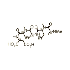 CN[C@@H](C)C(=O)N(C)[C@@H](CC(C)C)C(=O)N[C@@H](C)C(=O)N(C)[C@H](C(=O)N(C)[C@@H](CC(=O)O)C(=O)O)C(C)C